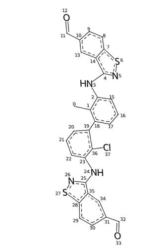 Cc1c(Nc2nsc3ccc(C=O)cc23)cccc1-c1cccc(Nc2nsc3ccc(C=O)cc23)c1Cl